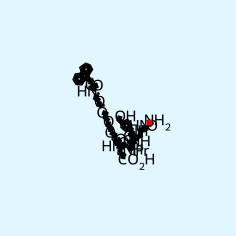 CC(C)C(NC(=O)C(CCC(=O)O)NC(=O)CCOCCOCCOCCOCCNC(=O)OCC1c2ccccc2-c2ccccc21)C(=O)NC(CCCNC(N)=O)C(=O)Nc1ccc(CO)cc1